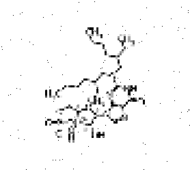 CCCCC(CC)CN(CC(CC)CCCC)c1nc2c(ncn2[C@@H]2O[C@H](COP(=O)(O)O)[C@@H](O)[C@H]2O)c(=O)[nH]1